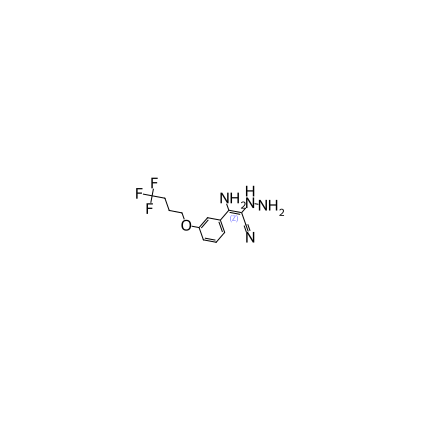 N#C/C(NN)=C(/N)c1cccc(OCCCC(F)(F)F)c1